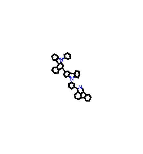 c1ccc(-n2c3ccccc3c3c4ccccc4c(-c4ccc5c(c4)c4ccccc4n5-c4cccc(-c5ncc6c7c(cccc57)-c5ccccc5-6)c4)cc32)cc1